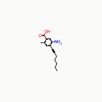 CCCCCC#Cc1cc(C)c(C(=O)O)cc1N